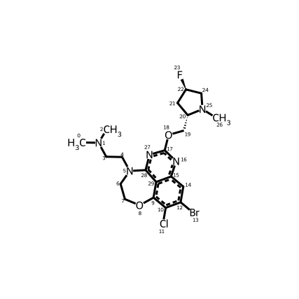 CN(C)CCN1CCOc2c(Cl)c(Br)cc3nc(OC[C@@H]4C[C@@H](F)CN4C)nc1c23